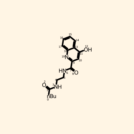 CCCCC(=O)NCCNC(=O)c1cc(O)c2ccccc2n1